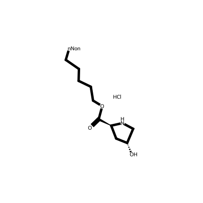 CCCCCCCCCCCCCCOC(=O)[C@@H]1C[C@@H](O)CN1.Cl